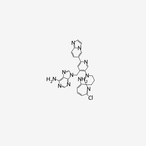 NC1=CC=CC(Cl)=NC12CCCN(c1cnc(-c3ccc4nccn4c3)cc1Cn1cnc3c(N)ncnc31)C2